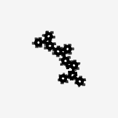 c1ccc(-c2nc(-c3ccccc3)nc(-c3cccc4c3sc3ccc(-n5c6ccccc6c6cc(-c7ccc8c(c7)c7ccccc7n8-c7ccccc7)ccc65)cc34)n2)cc1